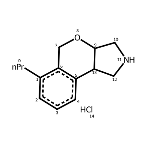 CCCc1cccc2c1COC1CNCC21.Cl